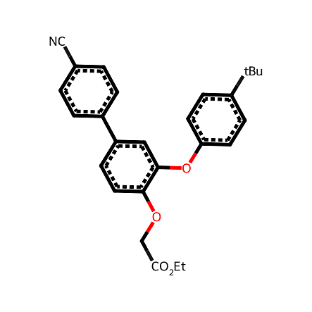 CCOC(=O)COc1ccc(-c2ccc(C#N)cc2)cc1Oc1ccc(C(C)(C)C)cc1